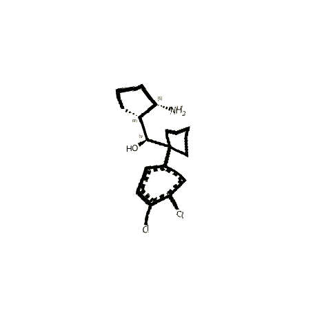 N[C@H]1CCC[C@H]1[C@H](O)C1(c2ccc(Cl)c(Cl)c2)CCC1